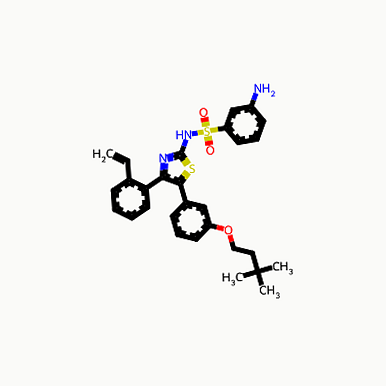 C=Cc1ccccc1-c1nc(NS(=O)(=O)c2cccc(N)c2)sc1-c1cccc(OCCC(C)(C)C)c1